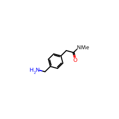 CNC(=O)Cc1ccc(CN)cc1